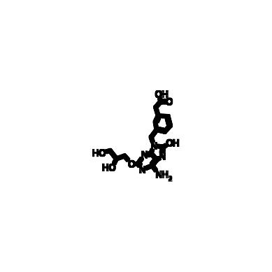 Nc1nc(OCC(O)CO)nc2c1nc(O)n2Cc1cccc(CC(=O)O)c1